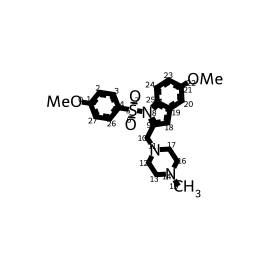 COc1ccc(S(=O)(=O)n2c(CN3CCN(C)CC3)cc3cc(OC)ccc32)cc1